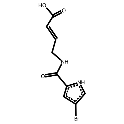 O=C(O)C=CCNC(=O)c1cc(Br)c[nH]1